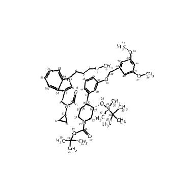 COCCCn1cc(CN(C(=O)[C@H]2CN(C(=O)OC(C)(C)C)C[C@@H](O[Si](C)(C)C(C)(C)C)[C@@H]2c2cccc(OCc3cc(OC)cc(OC)c3)c2)C2CC2)c2ccccc21